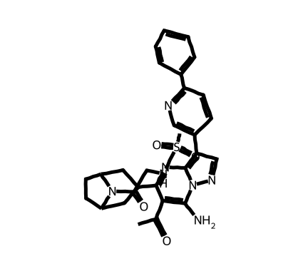 CC(=O)c1c(C2CC3CCC(C2)N3C(=O)CNS(C)(=O)=O)nc2c(-c3ccc(-c4ccccc4)nc3)cnn2c1N